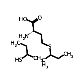 CCC(C)S.CCC(C)SCC[C@H](N)C(=O)O